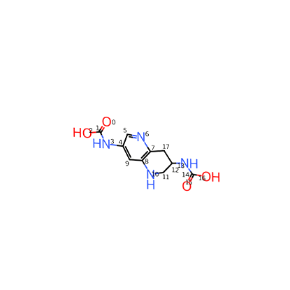 O=C(O)Nc1cnc2c(c1)NCC(NC(=O)O)C2